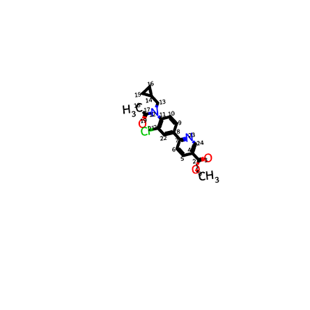 COC(=O)c1ccc(-c2ccc(N(CC3CC3)C(C)=O)c(Cl)c2)nc1